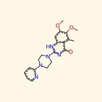 COc1cc2[nH]c(N3CCN(c4ccccn4)CC3)nc(=O)c2c(C)c1OC